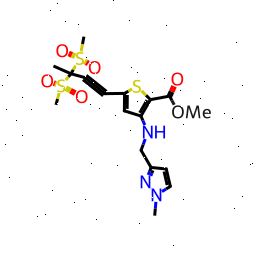 COC(=O)c1sc(C#CC(C)(S(C)(=O)=O)S(C)(=O)=O)cc1NCc1ccn(C)n1